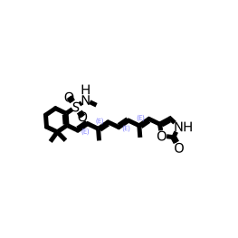 CNS(=O)(=O)C1=C(/C=C/C(C)=C/C=C/C(C)=C/c2c[nH]c(=O)o2)C(C)(C)CCC1